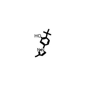 Cc1ccn(-c2ccc(C(C)(C)C)c(O)c2)n1